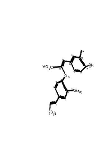 COc1cc(/C=C/C(=O)O)ccc1O/C(=C\c1ccc(O)c(C)c1)C(=O)O